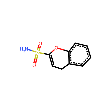 NS(=O)(=O)C1=CCc2ccccc2O1